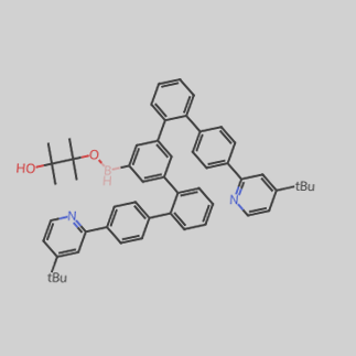 CC(C)(C)c1ccnc(-c2ccc(-c3ccccc3-c3cc(BOC(C)(C)C(C)(C)O)cc(-c4ccccc4-c4ccc(-c5cc(C(C)(C)C)ccn5)cc4)c3)cc2)c1